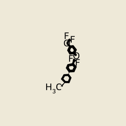 CC[C@H]1CC[C@H](c2ccc(C(F)(F)Oc3ccc(OC(F)F)cc3)cc2)CC1